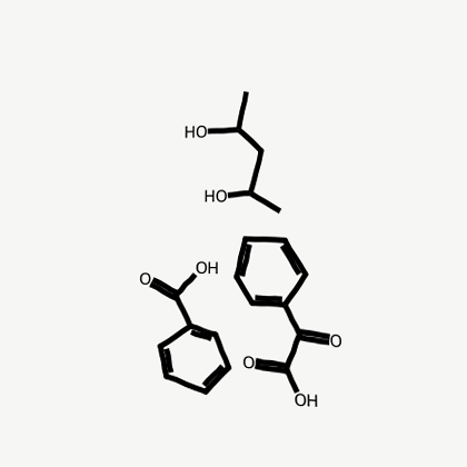 CC(O)CC(C)O.O=C(O)C(=O)c1ccccc1.O=C(O)c1ccccc1